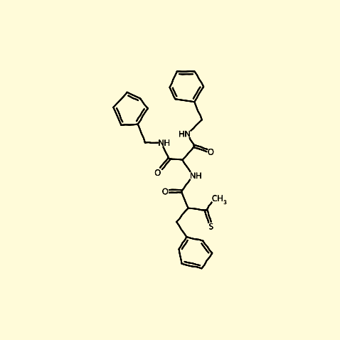 CC(=S)C(Cc1ccccc1)C(=O)NC(C(=O)NCc1ccccc1)C(=O)NCc1ccccc1